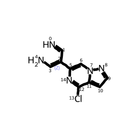 N=C/C(=C\N)c1cn2nccc2c(Cl)n1